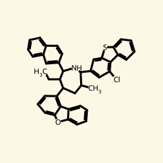 CCC1C(c2cccc3oc4ccccc4c23)CC(C)C(c2cc(Cl)c3c(c2)sc2ccccc23)NC1c1ccc2ccccc2c1